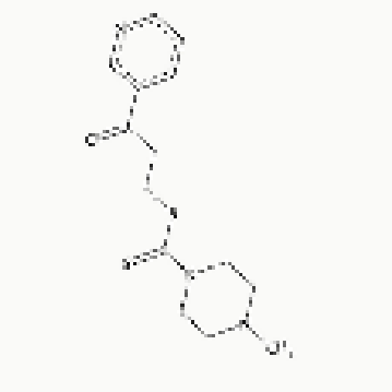 CN1CCN(C(=S)SCCC(=O)c2cccnc2)CC1